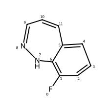 Fc1cccc2c1NN=CC=C2